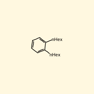 CCCCCCc1ccccc1CCCCCC